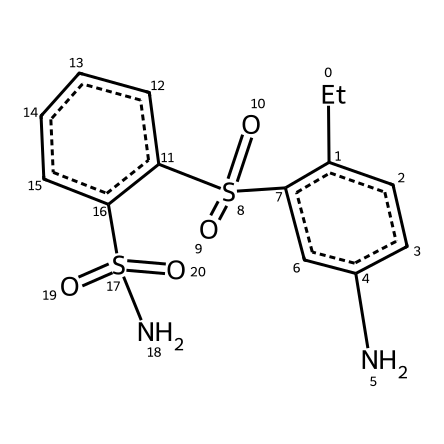 CCc1ccc(N)cc1S(=O)(=O)c1ccccc1S(N)(=O)=O